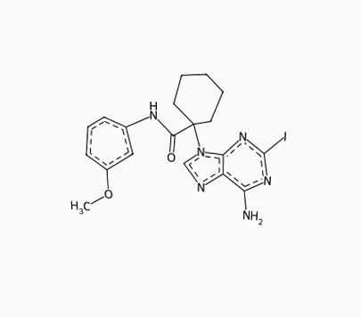 COc1cccc(NC(=O)C2(n3cnc4c(N)nc(I)nc43)CCCCC2)c1